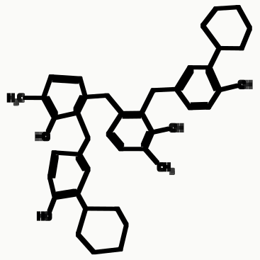 Cc1ccc(Cc2ccc(C)c(O)c2Cc2ccc(O)c(C3CCCCC3)c2)c(Cc2ccc(O)c(C3CCCCC3)c2)c1O